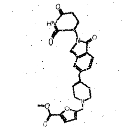 COC(=O)c1ccc(CN2CCC(c3ccc4c(c3)CN(C3CCC(=O)NC3=O)C4=O)CC2)o1